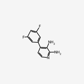 Nc1nccc(-c2cc(F)cc(F)c2)c1N